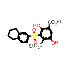 CCOC(=O)c1cc(O)c(C(=O)OCC)c(S(=O)(=O)c2ccc3c(c2)CCCC3)c1O